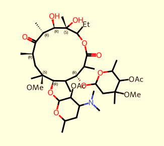 CCC1OC(=O)C(C)[C@H](OC2CC(C)(OC)C(OC(C)=O)C(C)O2)C(C)[C@@H](OC2OC(C)CC(N(C)C)C2OC(C)=O)[C@@](C)(OC)C[C@@H](C)C(=O)[C@H](C)[C@@H](O)[C@]1(C)O